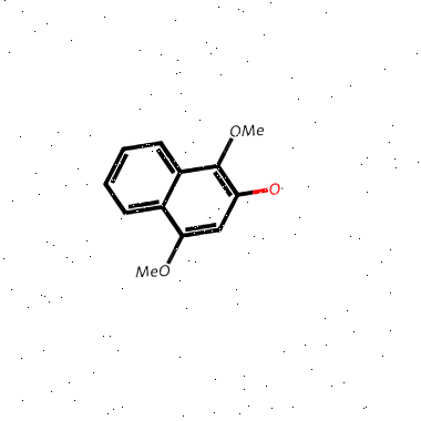 COc1cc([O])c(OC)c2ccccc12